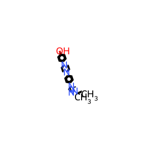 CCC(C)N1CN(c2ccc(N3CCN(c4ccc(O)cc4)CC3)cc2)C=N1